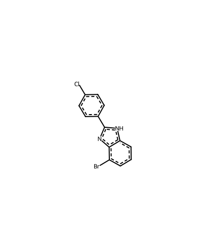 Clc1ccc(-c2nc3c(Br)cccc3[nH]2)cc1